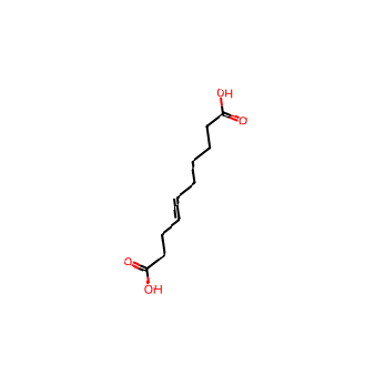 O=C(O)CCC=CCCCCC(=O)O